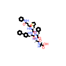 C[C@H](NC(=O)[C@@H](Cc1ccccc1)NC(=O)[C@H](Cc1ccc(-c2ccccc2)cc1)NC(=O)[C@@H](CC1CC=CS1)NC(=O)CCC(=O)Nc1ccccc1)C(=O)NC(C)(C)C(=O)O